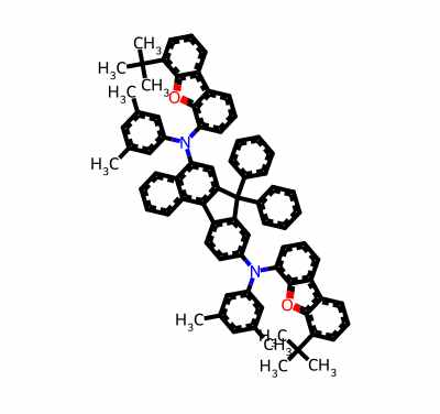 Cc1cc(C)cc(N(c2ccc3c(c2)C(c2ccccc2)(c2ccccc2)c2cc(N(c4cc(C)cc(C)c4)c4cccc5c4oc4c(C(C)(C)C)cccc45)c4ccccc4c2-3)c2cccc3c2oc2c(C(C)(C)C)cccc23)c1